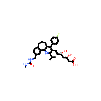 CNC(=O)NCc1ccc2c(c1)-c1nc(C(C)C)c(/C=C/[C@@H](O)C[C@@H](O)CC(=O)O)c(-c3ccc(F)cc3)c1CCC2